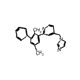 Cc1cc(-c2ccccc2)c(C)c(-c2cc(Cn3ccnc3)ccn2)c1